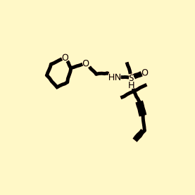 C=CC#CC(C)(C)[SH](C)(=O)NCCOC1CCCCO1